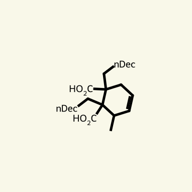 CCCCCCCCCCCC1(C(=O)O)CC=CC(C)C1(CCCCCCCCCCC)C(=O)O